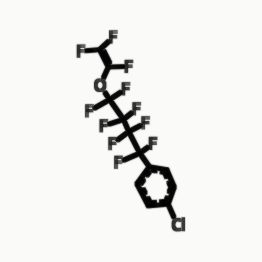 FC(F)=C(F)OC(F)(F)C(F)(F)C(F)(F)C(F)(F)c1ccc(Cl)cc1